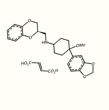 COC1(c2ccc3c(c2)OCO3)CCC(NC[C@@H]2COc3ccccc3O2)CC1.O=C(O)/C=C/C(=O)O